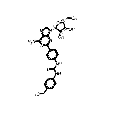 Nc1nc(-c2ccc(NC(=O)Nc3ccc(CO)cc3)cc2)nc2c1ncn2[C@@H]1O[C@H](CO)[C@@H](O)[C@H]1O